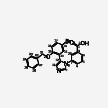 O=C(O)c1cccc(-n2cncc2-c2cc(Br)ccc2OCc2ccccc2)c1